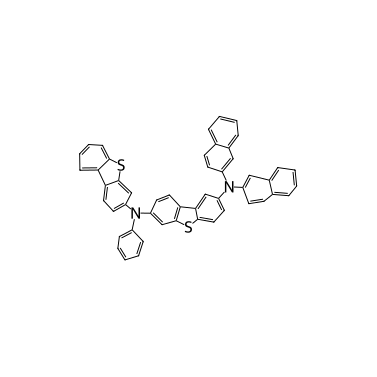 c1ccc(N(c2ccc3c(c2)sc2ccccc23)c2ccc3c(c2)sc2ccc(N(c4ccc5ccccc5c4)c4ccc5ccccc5c4)cc23)cc1